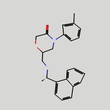 C[C@@H](NCC1CN(c2cccc(C(=O)O)c2)C(=O)CO1)c1cccc2ccccc12.Cl